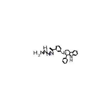 C=C(/N=N\NN)c1cccc(CN2CCc3c([nH]c4ccccc34)C2c2ccccc2)c1